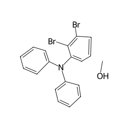 Brc1cccc(N(c2ccccc2)c2ccccc2)c1Br.CO